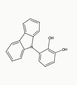 Oc1cccc(-n2c3ccccc3c3ccccc32)c1O